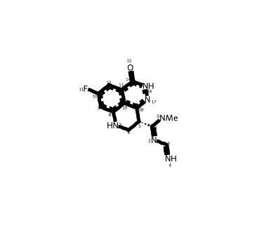 CN/C(=N\C=N)[C@@H]1CNc2cc(F)cc3c(=O)[nH]nc1c23